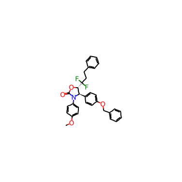 COc1ccc(N2C(=O)O[C@H](C(F)(F)CCc3ccccc3)[C@H]2c2ccc(OCc3ccccc3)cc2)cc1